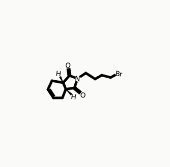 O=C1[C@H]2CC=CC[C@H]2C(=O)N1CCCCBr